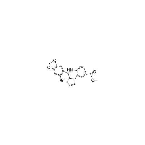 COC(=O)c1ccc2c(c1)C1C=CCC1C(c1cc3c(cc1Br)OCO3)N2